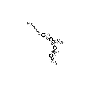 CCCCCCCOc1ccc(C(=O)Oc2ccc(CN(CC(=O)O)C(=O)c3ccc(NS(=O)(=O)c4cccc(C(C)(F)F)c4)cc3)cc2)cc1